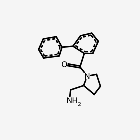 NCC1CCCN1C(=O)c1ccccc1-c1ccccc1